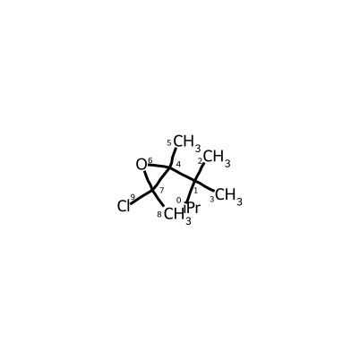 CC(C)C(C)(C)C1(C)OC1(C)Cl